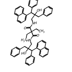 CCC(CC)(C(=O)NCC(O)(Cc1ccccc1)C(c1ccccc1)c1cccc2ccccc12)C(=O)NCC(O)(Cc1ccccc1)C(c1ccccc1)c1cccc2ccccc12